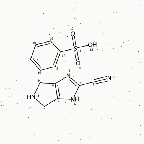 N#Cc1nc2c([nH]1)CNC2.O=S(=O)(O)c1ccccc1